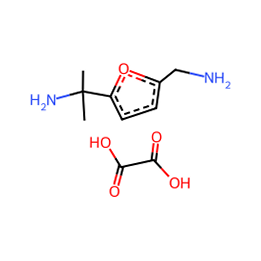 CC(C)(N)c1ccc(CN)o1.O=C(O)C(=O)O